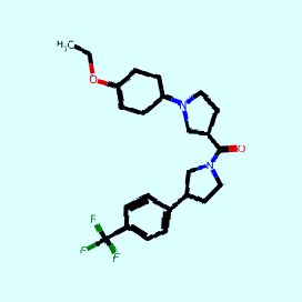 CCOC1CCC(N2CCC(C(=O)N3CCC(c4ccc(C(F)(F)F)cc4)C3)C2)CC1